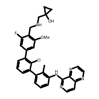 COc1cc(-c2cccc(-c3cccc(Nc4nccc5nccnc45)c3C)c2Cl)cc(F)c1CNCC1(O)CC1